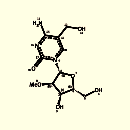 CO[C@@H]1[C@H](O)[C@@H](CO)O[C@H]1n1cc(CO)c(N)nc1=O